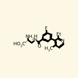 CCc1nccc(C)c1-c1cc(F)cc(C(=O)NC[C@@H](N)C(=O)O)c1